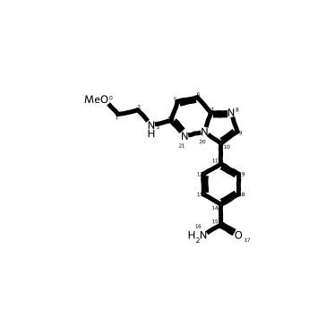 COCCNc1ccc2ncc(-c3ccc(C(N)=O)cc3)n2n1